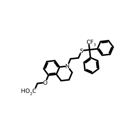 O=C(O)COc1cccc2c1CCCN2CCSC(c1ccccc1)(c1ccccc1)C(F)(F)F